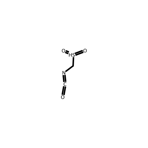 O=C=NC[SH](=O)=O